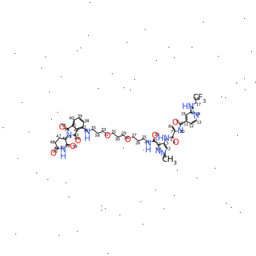 Cn1cc(NC(=O)c2coc(-c3ccnc(NCC(F)(F)F)c3)n2)c(C(=O)NCCCOCCCOCCCNc2cccc3c2C(=O)N(C2CCC(=O)NC2=O)C3=O)n1